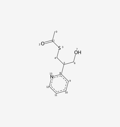 CC(=O)SCC(CO)c1ccccn1